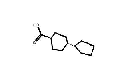 O=C(O)[C@H]1CC[C@H](C2CCCC2)CC1